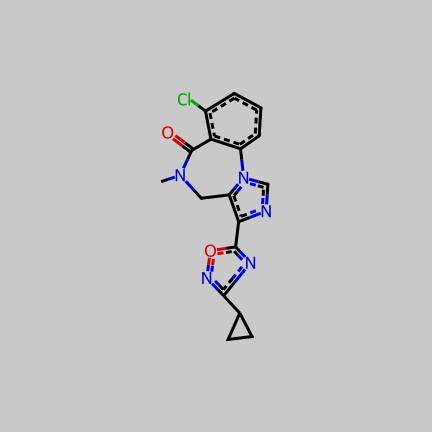 CN1Cc2c(-c3nc(C4CC4)no3)ncn2-c2cccc(Cl)c2C1=O